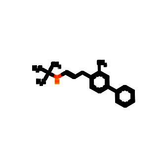 Cc1cc(-c2ccccc2)ccc1CC=CP[Si](C)(C)C